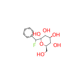 OC[C@H]1O[C@@](O)(C(F)c2ccccc2)[C@H](O)[C@@H](O)[C@@H]1O